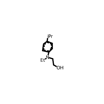 CCN(CCO)c1ccc(C(C)C)cc1